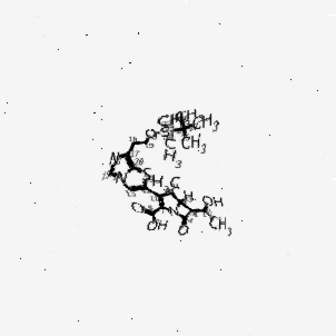 C[C@@H](O)[C@H]1C(=O)N2C(C(=O)O)=C(c3cn4cnc(CCO[Si](C)(C)C(C)(C)C)c4s3)[C@H](C)[C@H]12